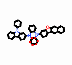 c1ccc(N(c2ccc3c(c2)oc2cc4ccccc4cc23)c2ccccc2N(c2ccccc2)c2ccc3c4ccccc4n(-c4ccccc4)c3c2)cc1